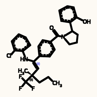 CCC[C@](C)(/C=C(\Nc1ccccc1Cl)c1ccc(C(=O)N2CCCC2c2ccccc2O)cc1)C(F)(F)F